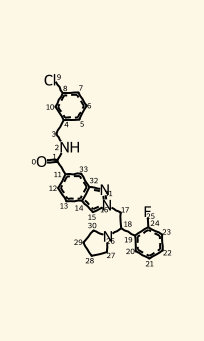 O=C(NCc1cccc(Cl)c1)c1ccc2cn(CC(c3ccccc3F)N3CCCC3)nc2c1